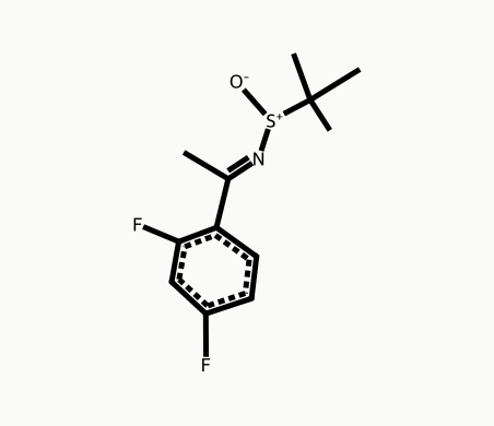 C/C(=N\[S+]([O-])C(C)(C)C)c1ccc(F)cc1F